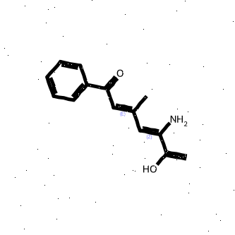 C=C(O)/C(N)=C/C(C)=C/C(=O)c1ccccc1